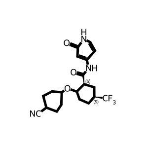 N#CC1CCC(OC2CC[C@H](C(F)(F)F)C[C@@H]2C(=O)Nc2cc[nH]c(=O)c2)CC1